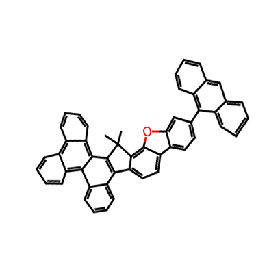 CC1(C)c2c(ccc3c2oc2cc(-c4c5ccccc5cc5ccccc45)ccc23)-c2c1c1c3ccccc3c3ccccc3c1c1ccccc21